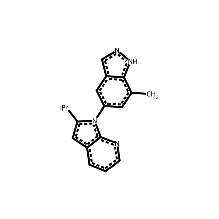 Cc1cc(-n2c(C(C)C)cc3cccnc32)cc2cn[nH]c12